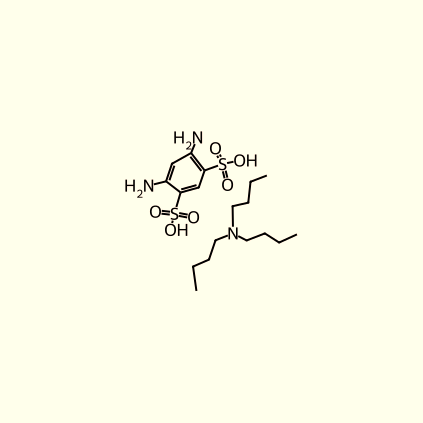 CCCCN(CCCC)CCCC.Nc1cc(N)c(S(=O)(=O)O)cc1S(=O)(=O)O